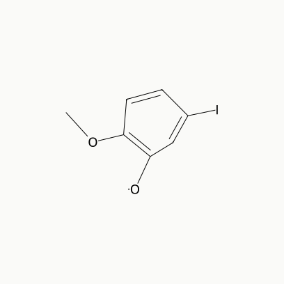 COc1ccc(I)cc1[O]